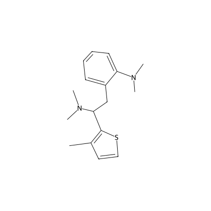 Cc1ccsc1C(Cc1ccccc1N(C)C)N(C)C